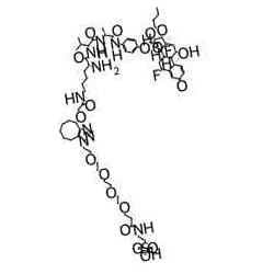 CCCC1O[C@@H]2C[C@H]3[C@@H]4C[C@H](F)C5=CC(=O)C=C[C@]5(C)[C@@]4(F)[C@@H](O)C[C@]3(C)[C@]2(C(=O)COc2ccc(NC(=O)[C@H](C)NC(=O)[C@@H](NC(=O)[C@H](N)CCCCNC(=O)COC3CCCCCc4c3nnn4CCOCCOCCOCCOCCC(=O)NCCS(=O)(=O)O)C(C)C)cc2)O1